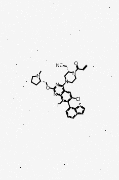 C=CC(=O)N1CCN(c2nc(OC[C@@H]3CCCN3C)nc3c(F)c(-c4cccc5ccsc45)c(Cl)cc23)C[C@@H]1CC#N